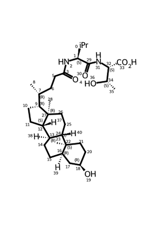 CC(C)[C@H](NC(=O)CC[C@@H](C)[C@H]1CC[C@H]2[C@@H]3CC[C@@H]4C[C@H](O)CC[C@]4(C)[C@H]3CC[C@]12C)C(=O)N[C@H](C(=O)O)[C@H](C)O